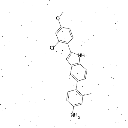 COc1ccc(-c2cc3cc(-c4ccc(N)cc4C)ccc3[nH]2)c(Cl)c1